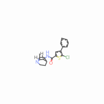 C[C@H]1[C@H](NC(=O)c2cc(-c3ccccc3)c(Cl)s2)C2CCN1CC2